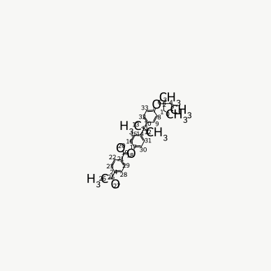 CCC(C)(CC)Oc1ccc(C(C)(C)c2ccc(OC(=O)c3ccc(C(C)=O)cc3)cc2)cc1